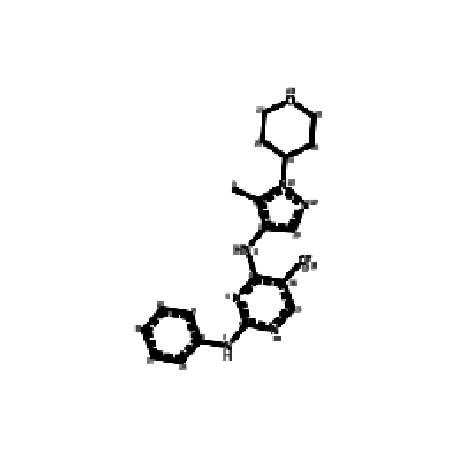 Cc1c(Nc2nc(Nc3[c]cccc3)ncc2C(F)(F)F)cnn1C1CCOCC1